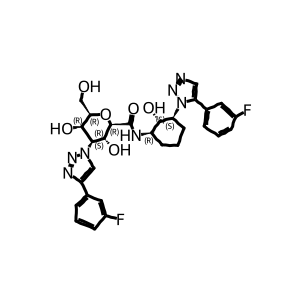 O=C(N[C@@H]1CCC[C@H](n2nncc2-c2cccc(F)c2)[C@H]1O)[C@@H]1O[C@H](CO)[C@H](O)[C@H](n2cc(-c3cccc(F)c3)nn2)[C@H]1O